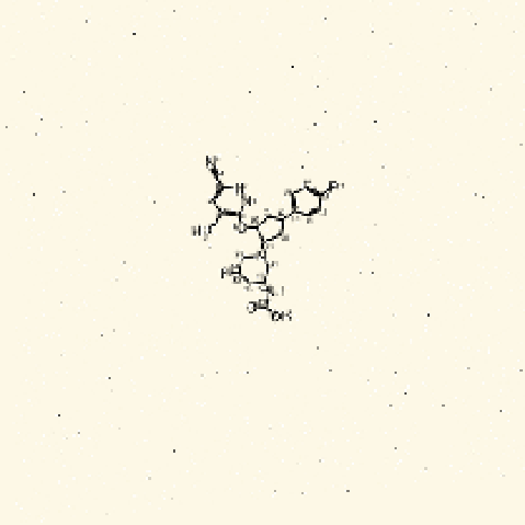 Cc1cc(C#N)nnc1OC1CC(c2ccc(F)cc2)CC1N1C[C@H](F)C[C@@H](NC(=O)O)C1